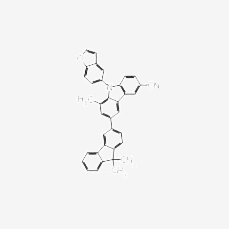 Cc1cc(-c2ccc3c(c2)-c2ccccc2C3(C)C)cc2c3cc(C#N)ccc3n(-c3ccc4occc4c3)c12